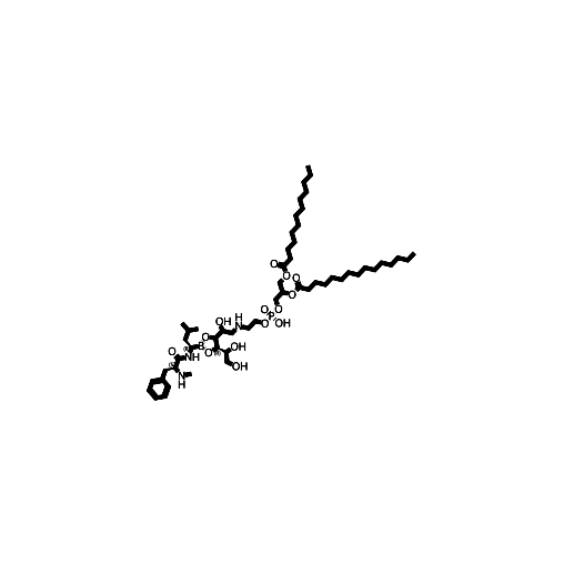 CCCCCCCCCCCCCCC(=O)OC(COC(=O)CCCCCCCCCCCC)COP(=O)(O)OCCNCC(O)C1OB([C@H](CC(C)C)NC(=O)[C@H](Cc2ccccc2)NC)O[C@@H]1C(O)CO